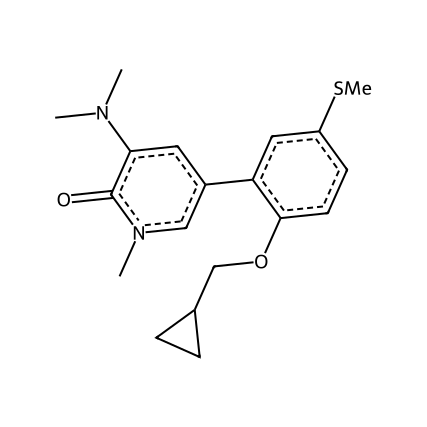 CSc1ccc(OCC2CC2)c(-c2cc(N(C)C)c(=O)n(C)c2)c1